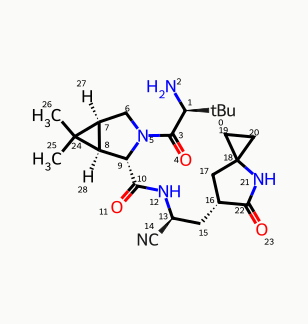 CC(C)(C)[C@H](N)C(=O)N1C[C@H]2[C@@H]([C@H]1C(=O)N[C@H](C#N)C[C@@H]1CC3(CC3)NC1=O)C2(C)C